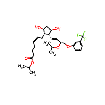 CC(C)OC(=O)CCC/C=C\C[C@@H]1[C@@H](/C=C/[C@H](COc2cccc(C(F)(F)F)c2)OC(C)C)[C@H](O)C[C@@H]1O